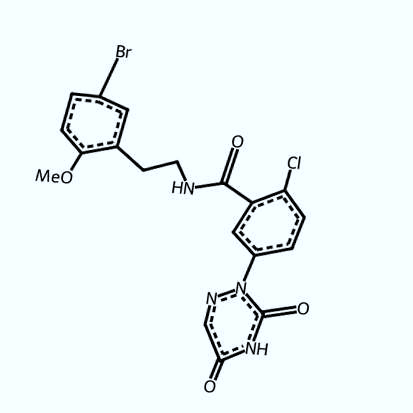 COc1ccc(Br)cc1CCNC(=O)c1cc(-n2ncc(=O)[nH]c2=O)ccc1Cl